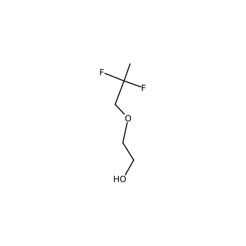 CC(F)(F)COCCO